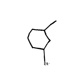 C[CH]C1CCCC(C)C1